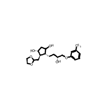 OC1C[C@@H](O)[C@H](CC2OCCO2)[C@H]1CC[C@@H](O)COc1cccc(C(F)(F)F)c1